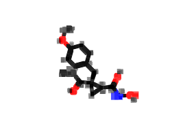 CCCOc1ccc(C[C@]2(C(=O)OC)C[C@@H]2C(=O)NO)cc1